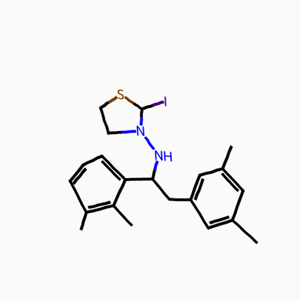 Cc1cc(C)cc(CC(NN2CCSC2I)c2cccc(C)c2C)c1